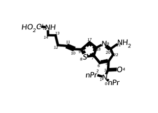 CCCN(CCC)C(=O)C1=Cc2sc(C#CCCCNC(=O)O)cc2N=C(N)C1